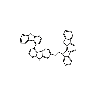 c1ccc2c(c1)-c1ccc3c(sc4ccccc43)c1C2CCc1ccc2c(c1)sc1cccc(-c3cccc4sc5ccccc5c34)c12